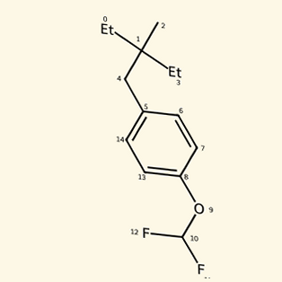 CCC(C)(CC)Cc1ccc(OC(F)F)cc1